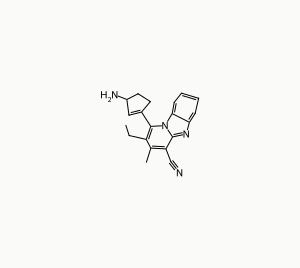 CCc1c(C)c(C#N)c2nc3ccccc3n2c1C1=CC(N)CC1